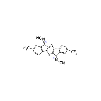 N#C/N=c1\c2cc(C(F)(F)F)ccc2c2nc3/c(=N/C#N)c4cc(C(F)(F)F)ccc4c3nc12